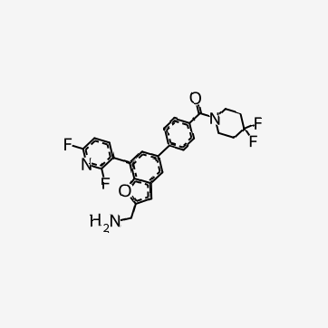 NCc1cc2cc(-c3ccc(C(=O)N4CCC(F)(F)CC4)cc3)cc(-c3ccc(F)nc3F)c2o1